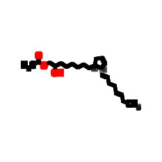 CCC=CCCC=C[C@H]1C=CC[C@@H]1CCCCCCC(O)COC(C)=O